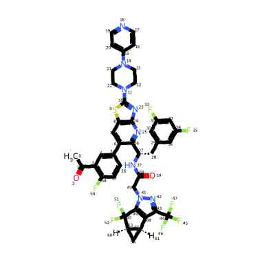 CC(=O)c1cc(-c2cc3sc(N4CCN(c5ccncc5)CC4)nc3nc2[C@H](Cc2cc(F)cc(F)c2)NC(=O)Cn2nc(C(F)(F)F)c3c2C(F)(F)[C@@H]2C[C@H]32)ccc1F